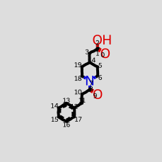 O=C(O)CC1CCN(C(=O)CCc2ccccc2)CC1